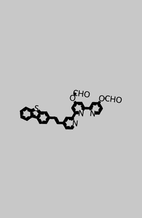 O=COc1ccnc(-c2cc(OC=O)cc(-c3cc(/C=C/c4ccc5c(c4)sc4ccccc45)ccn3)n2)c1